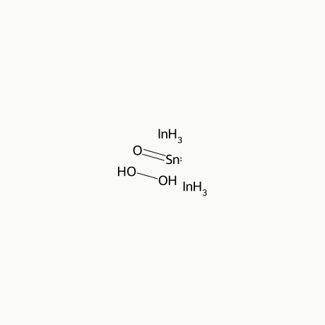 OO.[InH3].[InH3].[O]=[Sn]